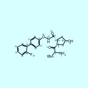 CC(C)(C)C(N)C(=O)N1C[C@H](O)C[C@H]1C(=O)NOc1ccc(-c2ccccc2F)cc1